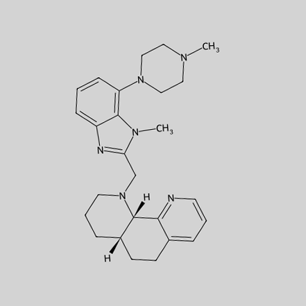 CN1CCN(c2cccc3nc(CN4CCC[C@H]5CCc6cccnc6[C@H]54)n(C)c23)CC1